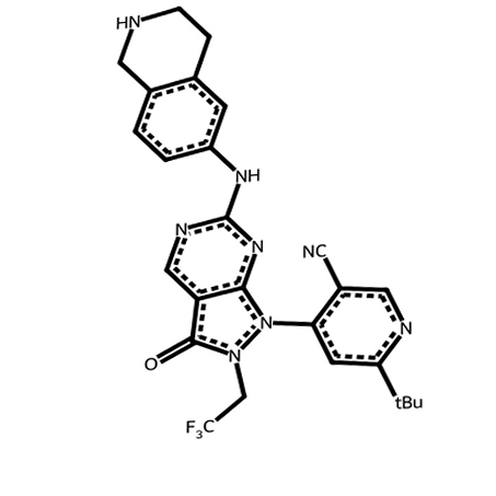 CC(C)(C)c1cc(-n2c3nc(Nc4ccc5c(c4)CCNC5)ncc3c(=O)n2CC(F)(F)F)c(C#N)cn1